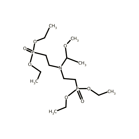 CCOP(=O)(CCN(CCP(=O)(OCC)OCC)C(C)OC)OCC